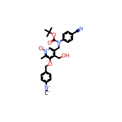 [C-]#[N+]c1ccc(COc2c(CO)c(CN(C(=O)OC(C)(C)C)c3ccc(C#N)cc3)c[n+]([O-])c2C)cc1